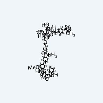 COc1cc(N2CCC(N(C)C(=O)COCCOCC(=O)N[C@H](C(=O)N3C[C@H](O)C[C@H]3C(=O)NCc3ccc(-c4scnc4C)cc3)C(C)(C)C)CC2)ccc1Nc1ncc(Cl)c(-c2c[nH]c3ccccc23)n1